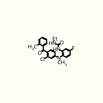 CCNC(=O)Nc1cc(F)ccc1N(C)c1ccc(C(=O)c2ccccc2C)c(Cl)c1